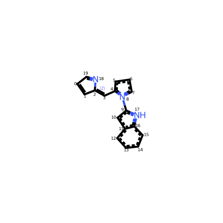 C1=C/C(=C/c2cccn2-c2cc3ccccc3[nH]2)N=C1